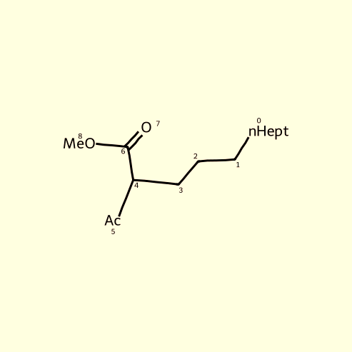 CCCCCCCCCCC(C(C)=O)C(=O)OC